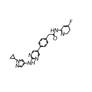 O=C(Cc1ccc(-c2cnc(Nc3cnn(C4CC4)c3)nc2)cc1)NC1=NCCC(F)=C1